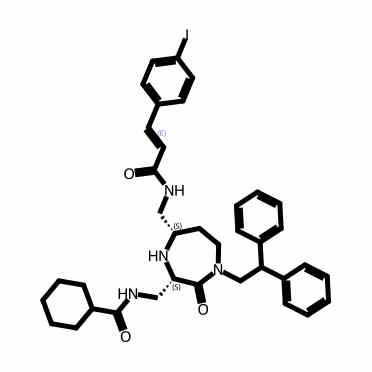 O=C(/C=C/c1ccc(I)cc1)NC[C@@H]1CCN(CC(c2ccccc2)c2ccccc2)C(=O)[C@H](CNC(=O)C2CCCCC2)N1